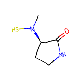 CN(S)[C@@H]1CCNC1=O